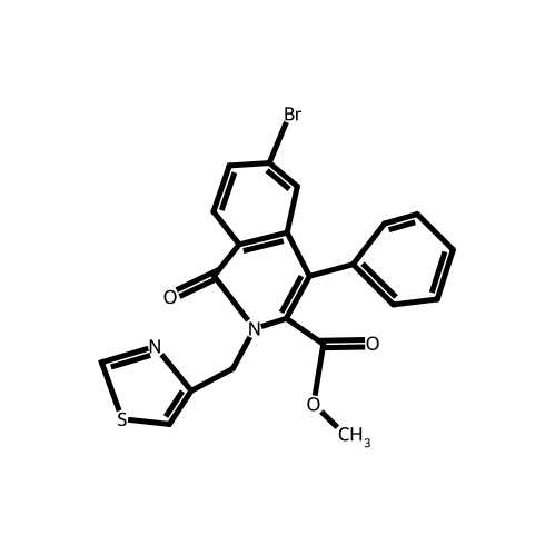 COC(=O)c1c(-c2ccccc2)c2cc(Br)ccc2c(=O)n1Cc1cscn1